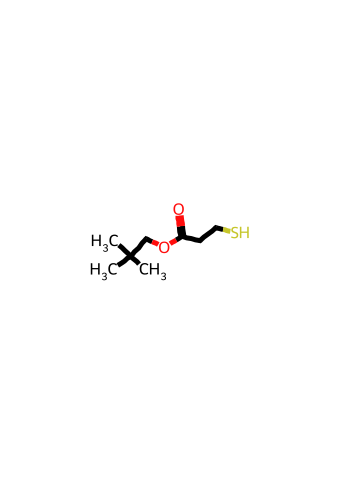 CC(C)(C)COC(=O)CCS